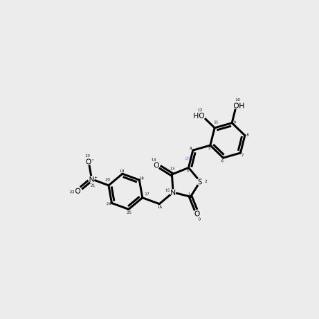 O=C1S/C(=C\c2cccc(O)c2O)C(=O)N1Cc1ccc([N+](=O)[O-])cc1